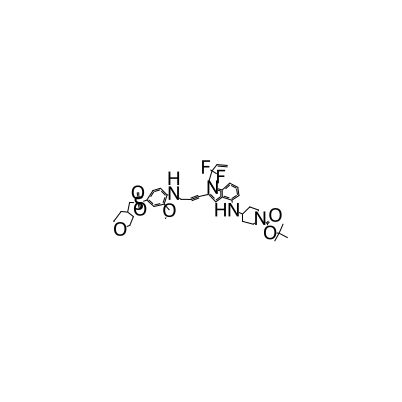 C=CC(F)(F)Cn1c(C#CCNc2ccc(S(=O)(=O)CC3CCOCC3)cc2OC)cc2c(NC3CCN(C(=O)OC(C)(C)C)CC3)cccc21